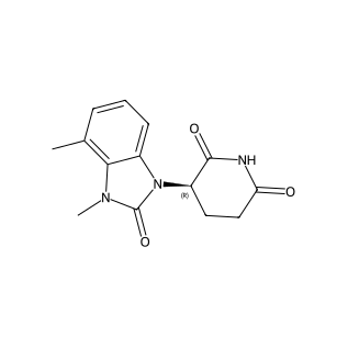 Cc1cccc2c1n(C)c(=O)n2[C@@H]1CCC(=O)NC1=O